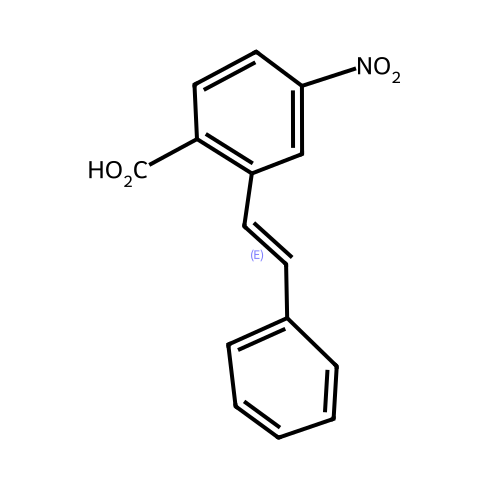 O=C(O)c1ccc([N+](=O)[O-])cc1/C=C/c1ccccc1